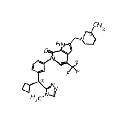 C[C@H]1CCCN(Cc2cc3c(C(F)(F)F)cn(-c4cccc([C@@H](c5nncn5C)C5CCC5)c4)c(=O)c3[nH]2)C1